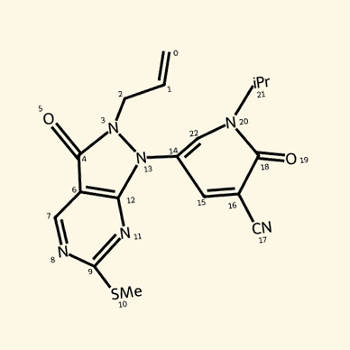 C=CCn1c(=O)c2cnc(SC)nc2n1-c1cc(C#N)c(=O)n(C(C)C)c1